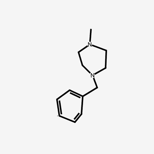 CN1CCN(Cc2cc[c]cc2)CC1